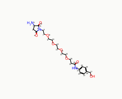 NC1CC(=O)N(CCOCCOCCOCCOCCC(=O)Nc2ccc(CO)cc2)C1=O